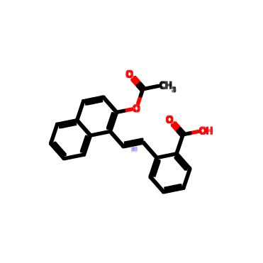 CC(=O)Oc1ccc2ccccc2c1/C=C/c1ccccc1C(=O)O